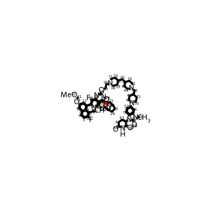 C#Cc1c(F)ccc2cc(OCOC)cc(-c3ncc4c(N5CC6CCC(C5)N6C(=O)OC(C)(C)C)nc(OCCN5CCC(CC6CCN(CC7CCN(c8ccc9c(c8)n(C)c(=O)n9C8CCC(=O)NC8=O)CC7)CC6)CC5)nc4c3F)c12